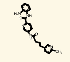 Cc1ccc(/C=C/CC(=O)Nc2ccc(C(=O)Nc3ccccc3N)nc2)cn1